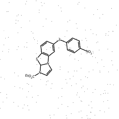 CCOC(=O)N1C=CN2c3cc(Sc4ccc([N+](=O)[O-])cc4)ccc3SC12